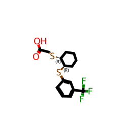 O=C(O)CS[C@@H]1CCCC[C@H]1Sc1cccc(C(F)(F)F)c1